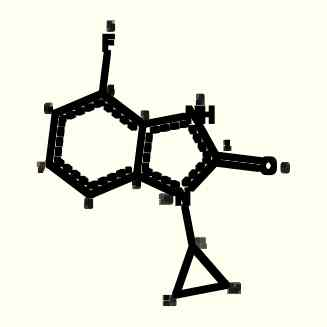 O=c1[nH]c2c(F)cccc2n1C1CC1